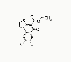 CCOC(=O)c1c2n(c3cc(Br)c(F)cc3c1=O)CCS2